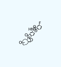 C=C1CCCC(=O)CCC1N1C(=O)c2ccc(NS(=O)(=O)c3cccc(F)c3)cc2C1=O